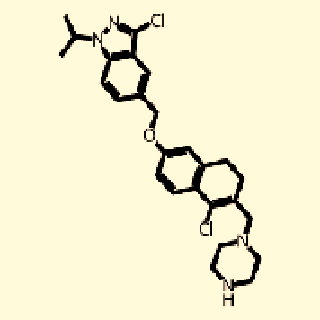 CC(C)n1nc(Cl)c2cc(COc3ccc4c(c3)CCC(CN3CCNCC3)=C4Cl)ccc21